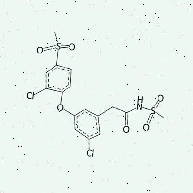 CS(=O)(=O)NC(=O)Cc1cc(Cl)cc(Oc2ccc(S(C)(=O)=O)cc2Cl)c1